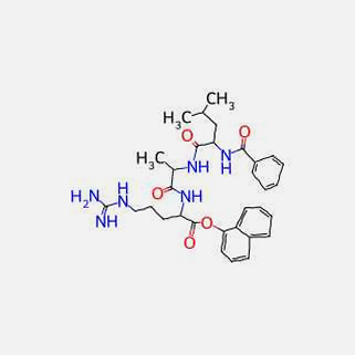 CC(C)CC(NC(=O)c1ccccc1)C(=O)NC(C)C(=O)NC(CCCNC(=N)N)C(=O)Oc1cccc2ccccc12